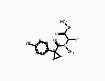 CC(C)C(C(=O)NO)N(C)C(=O)C1(c2ccc(Cl)cc2)CC1